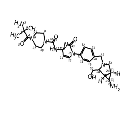 CC(C)(N)C(=O)N1CCN(C(=O)Nc2ccn(-c3ccc(CN4C[C@@H]5[C@@H](N)[C@@H]5C4CO)cc3)c(=O)n2)CC1